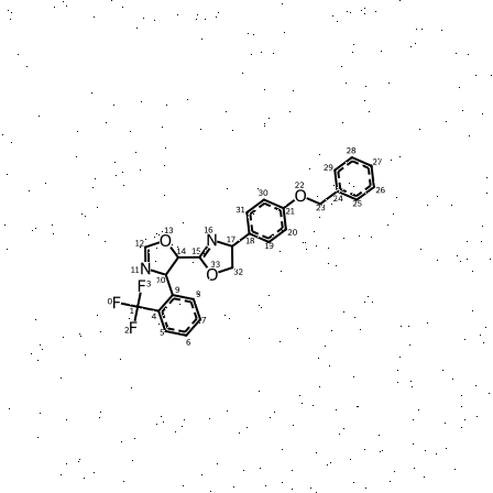 FC(F)(F)c1ccccc1C1N=[C]OC1C1=NC(c2ccc(OCc3ccccc3)cc2)CO1